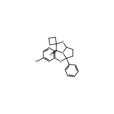 O=C1N2C(CCC2(Oc2cncc(Cl)c2)c2ccccc2)OC12CCC2